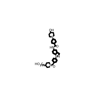 O=C(O)NC1CCN(C(=O)c2ccc(-n3ncc4cc(NC(=O)c5ccc(N6CCC(O)CC6)cc5)ccc43)cc2)CC1